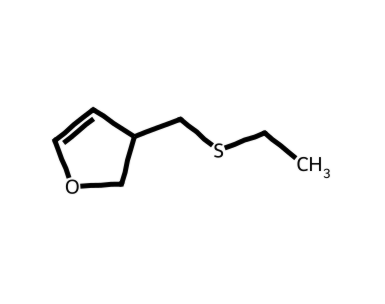 CCSCC1C=COC1